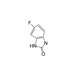 O=C1[N]c2ccc(F)cc2N1